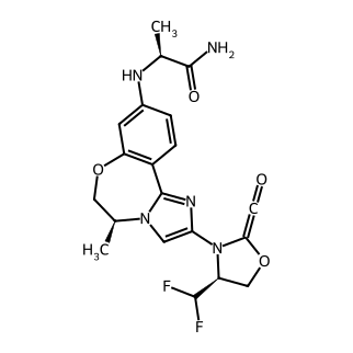 C[C@H](Nc1ccc2c(c1)OC[C@H](C)n1cc(N3C(=C=O)OC[C@H]3C(F)F)nc1-2)C(N)=O